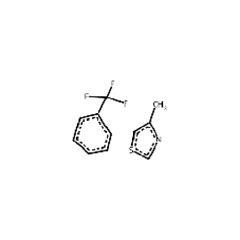 Cc1cscn1.FC(F)(F)c1ccccc1